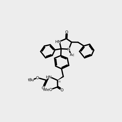 COC(=O)[C@H](Cc1ccc(C2(c3ccccc3)NC(=O)C(Cc3ccccc3)N2C(C)=O)cc1)NC(=O)OC(C)(C)C